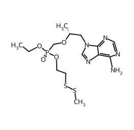 CCOP(=O)(CO[C@H](C)Cn1cnc2c(N)ncnc21)OCCSSC